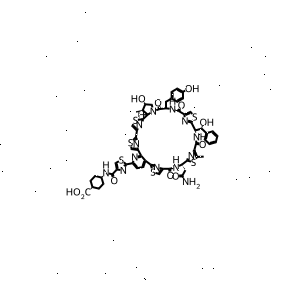 Cc1sc2nc1C(=O)N[C@@H]([C@H](O)c1ccccc1)c1nc(cs1)C(=O)NC(Cc1ccc(O)cc1)C(=O)N1C[C@H](O)[C@H](C)[C@H]1c1nc(cs1)-c1nc(cs1)-c1nc(-c3nc(C(=O)N[C@H]4CC[C@@H](C(=O)O)CC4)cs3)ccc1-c1nc(cs1)C(=O)N[C@H]2CC(N)=O